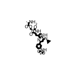 C[C@H](N)C(=O)OCN1C(=O)N/C(=C\c2cnn3c(NC4CC4)cc(-c4cccc(NS(C)(=O)=O)c4)nc23)C1=O